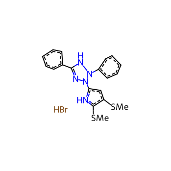 Br.CSc1cc(N2N=C(c3ccccc3)NN2c2ccccc2)[nH]c1SC